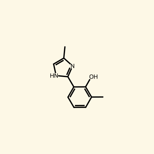 Cc1c[nH]c(-c2cccc(C)c2O)n1